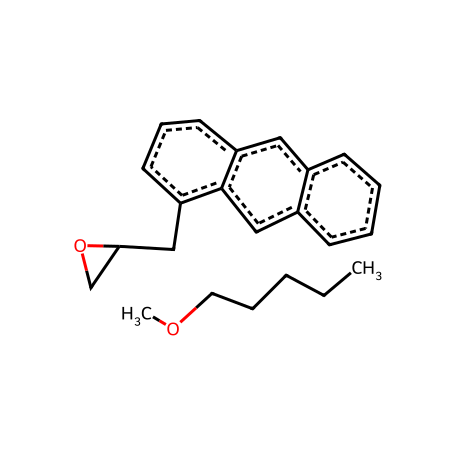 CCCCCOC.c1ccc2cc3c(CC4CO4)cccc3cc2c1